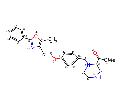 COC(=O)C1CNCCN1Cc1ccc(OCCc2nc(-c3ccccc3)oc2C)cc1